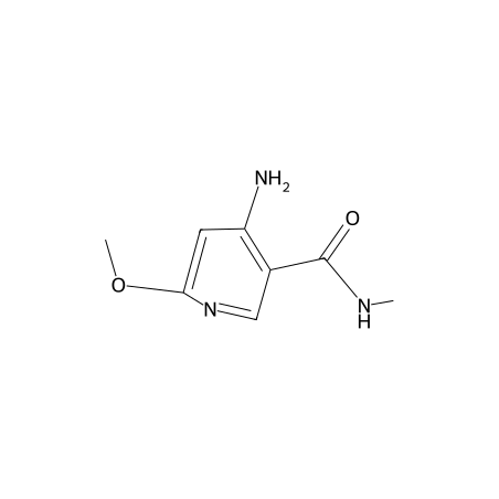 CNC(=O)c1cnc(OC)cc1N